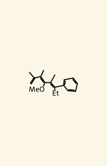 C=C(C)/C(C)=C(OC)/C(C)=C(\CC)c1ccccc1